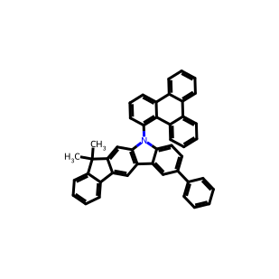 CC1(C)c2ccccc2-c2cc3c4cc(-c5ccccc5)ccc4n(-c4cccc5c6ccccc6c6ccccc6c45)c3cc21